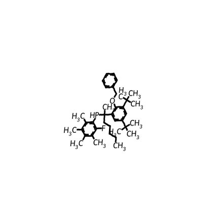 CCCCCC(C)(Pc1c(C)c(C)c(C)c(C)c1F)c1cc(C(C)(C)C)cc(C(C)(C)C)c1OCc1ccccc1